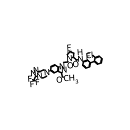 CC(=O)c1nn(CC(=O)N2C[C@H](F)CC2C(=O)Nc2cccc(-c3ccccc3Cl)c2F)c2ccc(N3CCn4c(nnc4C(F)(F)F)C3)cc12